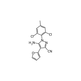 Cc1cc(Cl)c(-n2nc(C#N)c(-c3ccco3)c2N)c(Cl)c1